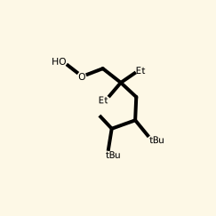 CCC(CC)(COO)CC(C(C)C(C)(C)C)C(C)(C)C